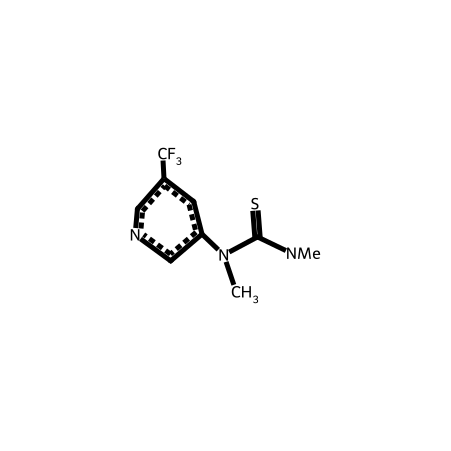 CNC(=S)N(C)c1cncc(C(F)(F)F)c1